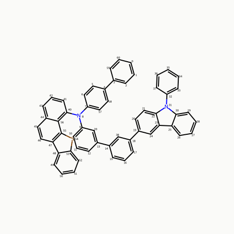 c1ccc(-c2ccc(N(c3cccc(-c4cccc(-c5ccc6c(c5)c5ccccc5n6-c5ccccc5)c4)c3)c3cccc4ccc5c6ccccc6sc5c34)cc2)cc1